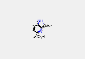 COc1nc(C(=O)O)ccc1N